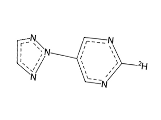 [2H]c1ncc(-n2nccn2)cn1